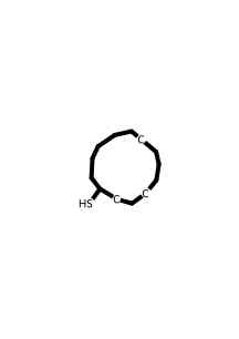 SC1CCCCCCCCCCCC1